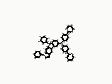 c1ccc(-n2ccc3cc4c5cc(N(c6ccc(-c7ccccn7)cc6)c6ccc(-c7ncccn7)cc6)ccc5n(-c5ccccc5)c4cc32)cc1